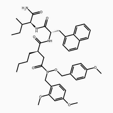 CCCC[C@H](CC(=O)N(Cc1ccc(OC)cc1OC)OCc1ccc(OC)cc1)C(=O)N[C@@H](Cc1cccc2ccccc12)C(=O)N[C@H](C(N)=O)C(C)CC